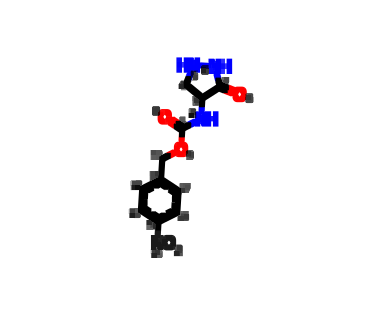 O=C(NC1CNNC1=O)OCc1ccc([N+](=O)[O-])cc1